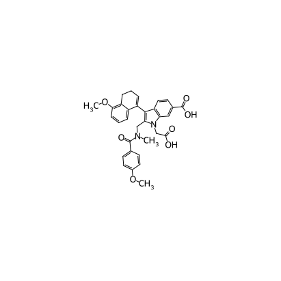 COc1ccc(C(=O)N(C)Cc2c(C3=CCCc4c(OC)cccc43)c3ccc(C(=O)O)cc3n2CC(=O)O)cc1